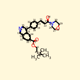 C[Si](C)(C)CCOC(=O)c1ccc2cncc(-c3ccc(C=CC(=O)N4CCOCC4)cc3)c2c1